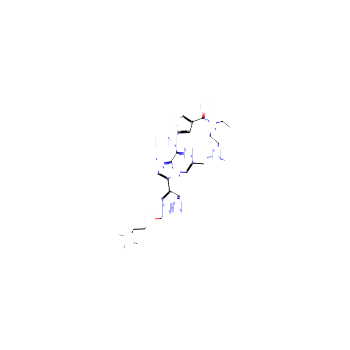 CCN(CCN(C)C)C(=O)c1csc(Nc2nc(C)cn3c(-c4cnn(COCC[Si](C)(C)C)c4)cnc23)c1